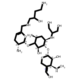 CN[C@H]1/C(=C\O)CO[C@H](O[C@H]2[C@H](NC(CO)CO)C[C@H](N)C(O[C@H]3OC(CNCC(O)CCN)=CC[C@H]3N)[C@@H]2O)[C@@H]1O